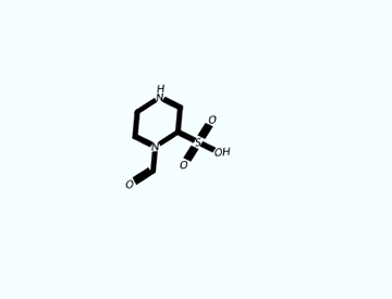 O=CN1CCNCC1S(=O)(=O)O